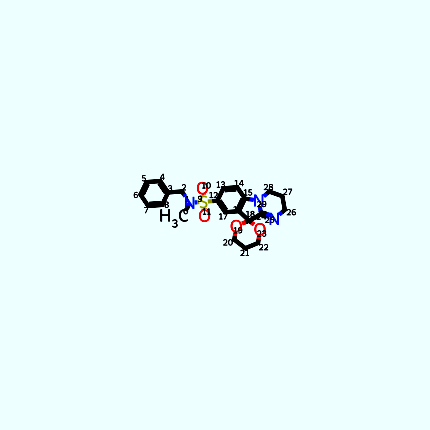 CN(Cc1ccccc1)S(=O)(=O)c1ccc2c(c1)C1(OCCCO1)C1=NCCCN12